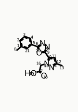 Cc1cccc(-c2nnc(-c3cc(C)nn3CC(=O)O)o2)c1